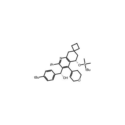 CC(C)c1nc2c(c(C3=CCOCC3)c1[C@H](O)c1ccc(C(C)(C)C)cc1)[C@@H](O[Si](C)(C)C(C)(C)C)CC1(CCC1)C2